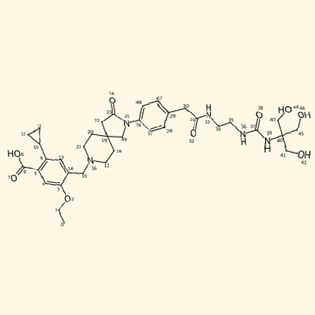 CCOc1cc(C(=O)O)c(C2CC2)cc1CN1CCC2(CC1)CC(=O)N(c1ccc(CC(=O)NCCNC(=O)NC(CO)(CO)CO)cc1)C2